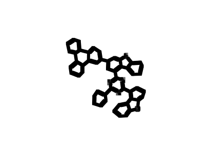 c1ccc(-c2nc(-c3cccc4oc5ccccc5c34)nc(-c3cc(-c4ccc5c6ccccc6c6ccccc6c5c4)cc4sc5ccccc5c34)n2)cc1